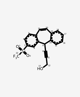 O=S(=O)(c1ccc2c(c1)C(C#CCO)c1ccccc1C=C2)C(F)(F)F